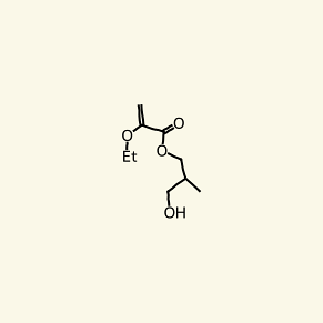 C=C(OCC)C(=O)OCC(C)CO